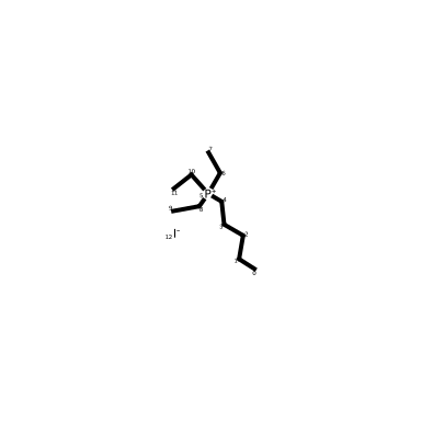 CCCCC[P+](CC)(CC)CC.[I-]